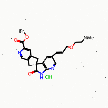 CNCCOC/C=C/c1cnc2c(c1)[C@@]1(Cc3cnc(C(=O)OC(C)C)cc3C1)C(=O)N2.Cl